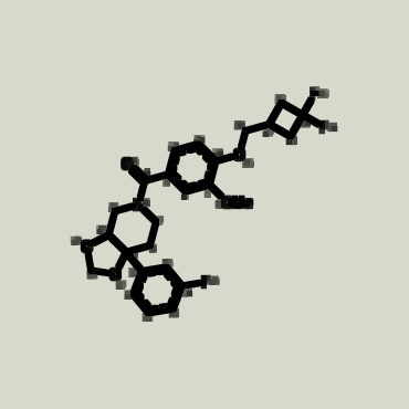 COc1cc(C(=O)N2CCC3(c4cccc(F)c4)OCOC3C2)ccc1OCC1CC(F)(F)C1